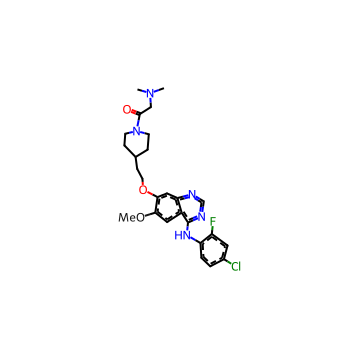 COc1cc2c(Nc3ccc(Cl)cc3F)ncnc2cc1OCCC1CCN(C(=O)CN(C)C)CC1